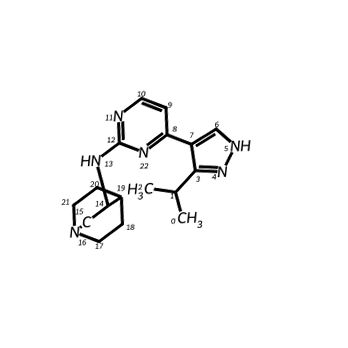 CC(C)c1n[nH]cc1-c1ccnc(NC2CN3CCC2CC3)n1